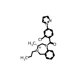 CCCN1Cc2ccccc2N(C(=O)c2ccc(-n3cccn3)cc2Cl)C[C@H]1C